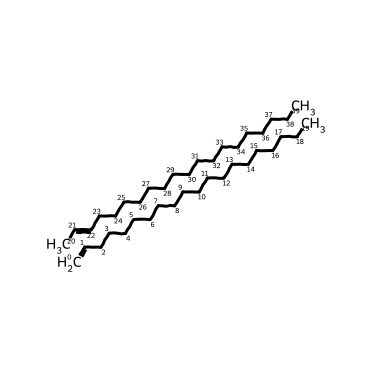 C=CCCCCCCCCCCCCCCCCCC.CC=CCCCCCCCCCCCCCCCCC